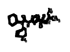 CC(C)NS(=O)(=O)c1nnc(NC(=O)N(C2CCCCC2)[C@H]2CC[C@H](C)CC2)s1